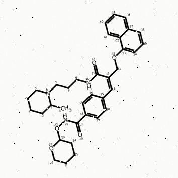 CC1CCCCN1CCCNC(=O)C(=Cc1ccc(C(=O)NOC2CCCCO2)cc1)COc1cccc2ccccc12